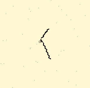 CCC=CCC=CC[C@H]1O[C@@H]1CCCCCCCCCCC